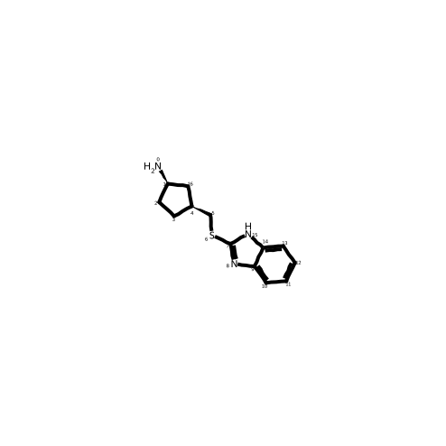 N[C@@H]1CC[C@H](CSc2nc3ccccc3[nH]2)C1